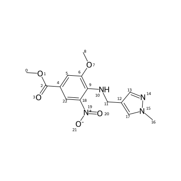 COC(=O)c1cc(OC)c(NCc2cnn(C)c2)c([N+](=O)[O-])c1